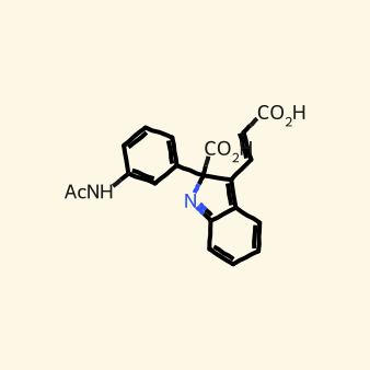 CC(=O)Nc1cccc(C2(C(=O)O)N=c3ccccc3=C2C=CC(=O)O)c1